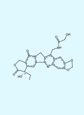 CC[C@@]1(O)C(=O)OCc2c1cc1n(c2=O)Cc2c-1nc1cc3c(cc1c2CNC(=O)CO)OCO3